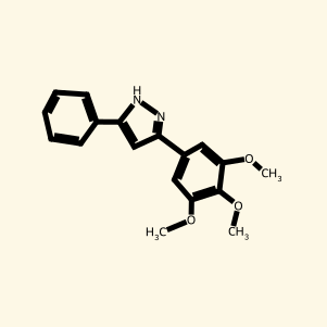 COc1cc(-c2cc(-c3ccccc3)[nH]n2)cc(OC)c1OC